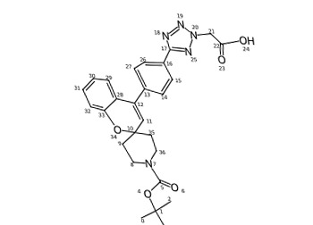 CC(C)(C)OC(=O)N1CCC2(C=C(c3ccc(-c4nnn(CC(=O)O)n4)cc3)c3ccccc3O2)CC1